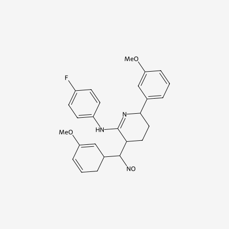 COC1=CC(C(N=O)C2CCC(c3cccc(OC)c3)N=C2Nc2ccc(F)cc2)CC=C1